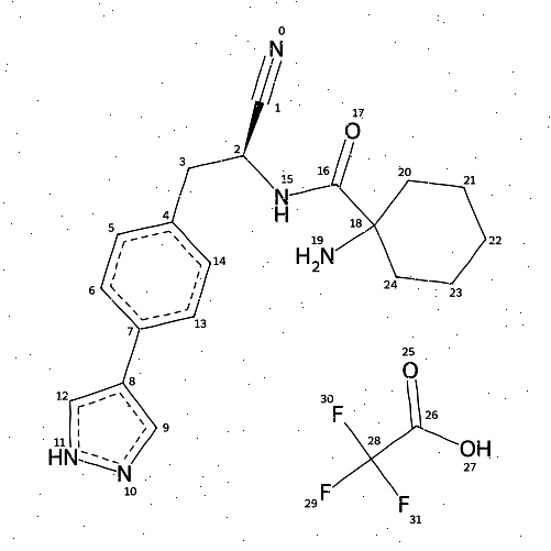 N#C[C@H](Cc1ccc(-c2cn[nH]c2)cc1)NC(=O)C1(N)CCCCC1.O=C(O)C(F)(F)F